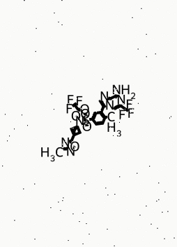 Cc1noc(C23CC(N(OC(=O)C(F)(F)F)S(=O)(=O)c4ccc(C)c(-c5cnc6c(N)nc(C(F)(F)F)cn56)c4)(C2)C3)n1